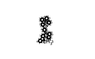 CC1(C)c2ccccc2-c2ccc(N(c3ccc(-c4cccc5c4Sc4ccccc4[Si]5(c4ccccc4)c4ccccc4)cc3)c3cccc4ccccc34)cc21